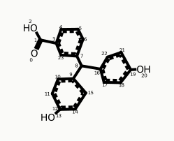 O=C(O)c1cccc(C(c2ccc(O)cc2)c2ccc(O)cc2)c1